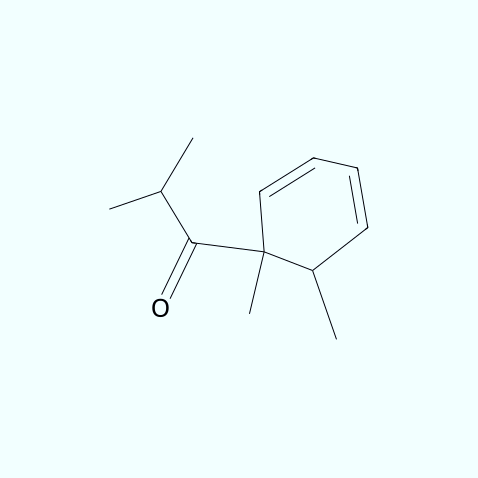 CC(C)C(=O)C1(C)C=CC=CC1C